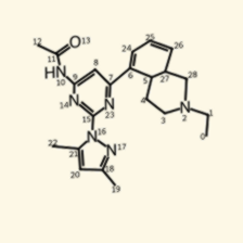 CCN1CCC2C(c3cc(NC(C)=O)nc(-n4nc(C)cc4C)n3)=CC=CC2C1